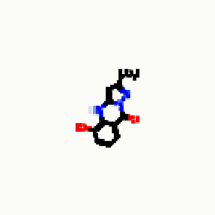 O=C(O)c1cc2[nH]c3c(O)cccc3c(=O)n2n1